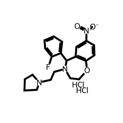 Cl.Cl.O=[N+]([O-])c1ccc2c(c1)C(c1ccccc1F)N(CCN1CCCC1)CCO2